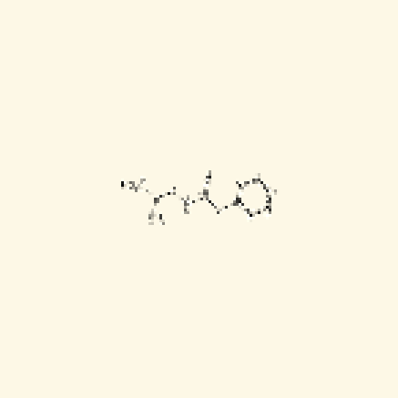 N[C@@H](CNC(=O)Cc1cccnc1)C(=O)O